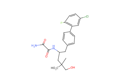 CC(CO)(CC(Cc1ccc(-c2cc(Cl)ccc2F)cc1)NC(=O)C(N)=O)C(=O)O